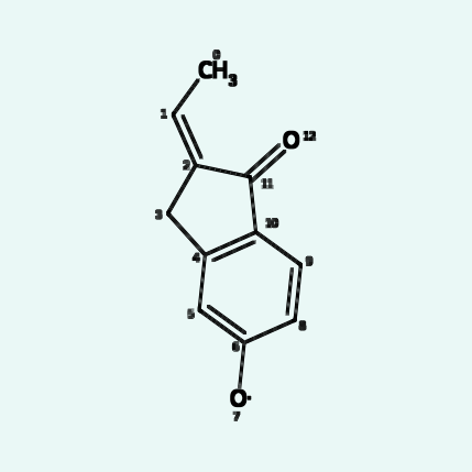 CC=C1Cc2cc([O])ccc2C1=O